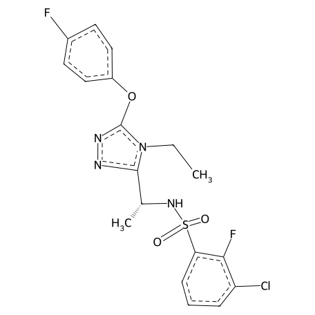 CCn1c(Oc2ccc(F)cc2)nnc1[C@@H](C)NS(=O)(=O)c1cccc(Cl)c1F